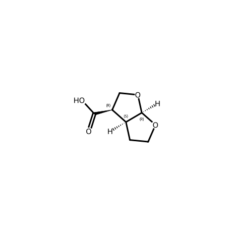 O=C(O)[C@H]1CO[C@H]2OCC[C@H]21